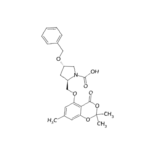 Cc1cc(OC[C@H]2C[C@H](OCc3ccccc3)CN2C(=O)O)c2c(c1)OC(C)(C)OC2=O